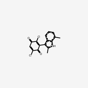 Cc1[nH]c2c(C)cccc2c1C1=C(Cl)C(=O)C=C(Cl)C1=O